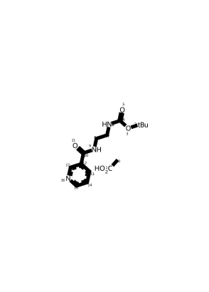 CC(=O)O.CC(C)(C)OC(=O)NCCNC(=O)c1cccnc1